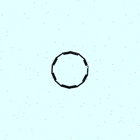 C1=C/C=C\C=C/C=C=C/C=N\C=C/C=1